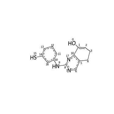 OC1=CCCc2cnc(Nc3cccc(S)c3)nc21